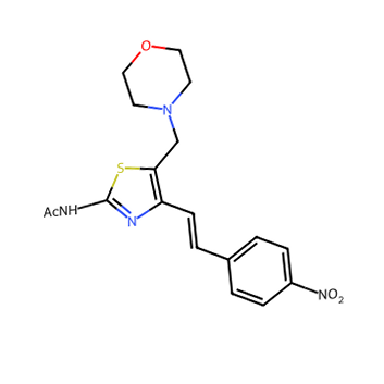 CC(=O)Nc1nc(C=Cc2ccc([N+](=O)[O-])cc2)c(CN2CCOCC2)s1